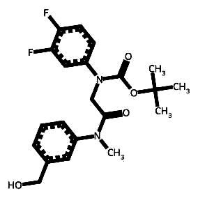 CN(C(=O)CN(C(=O)OC(C)(C)C)c1ccc(F)c(F)c1)c1cccc(CO)c1